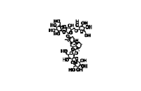 C=C1C[C@@]23CCC4[C@](C)(C(=O)OC5OC(CO)C(O)C(O)C5OC5OC(CO)C(O)C(O)C5O)CCC[C@@]4(C)[C@@H]2CC[C@]1(OC1OC(COC2OC(CO)C(O)C(O)C2O)C(O)C(O)C1OC1OC(CO)C(O)C(O)C1O)C3